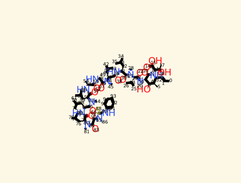 C/C=C/C[C@@H](C)[C@@H](O)[C@@H](C(=O)N[C@H](C(=O)O)[C@@H](C)O)N(C)C(=O)[C@H](C(C)C)N(C)C(=O)[C@H](CC(C)C)NC(=O)[C@H](CC(C)C)N(C)C(=O)[C@@H](C)NC(=O)[C@H](C)NC(=O)[C@H](CC(C)C)N(C)C(=O)[C@H](CC(C)C)NC(=O)[C@H](CC(C)C)N(C)C(=O)CN(C)C(=S)Nc1ccccc1